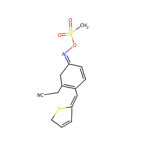 CS(=O)(=O)ON=C1C=CC(C=C2C=CCS2)=C(CC#N)C1